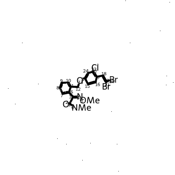 CNC(=O)C(=NOC)c1ccccc1COc1ccc(C=C(Br)Br)c(Cl)c1